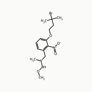 COBN(C)Cc1cccc(OCCC(C)(C)Br)c1[N+](=O)[O-]